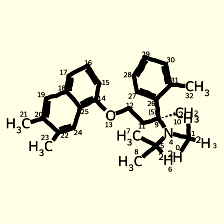 [2H]C([2H])([2H])N(C([2H])(C)C)[C@@](C)(CCOc1cccc2cc(C)c(C)cc12)c1ccccc1C